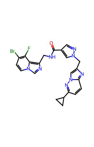 O=C(NCc1ncn2ccc(Br)c(F)c12)c1cnn(Cc2cn3nc(C4CC4)ccc3n2)c1